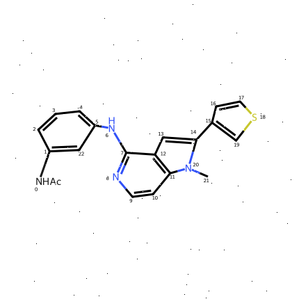 CC(=O)Nc1cccc(Nc2nccc3c2cc(-c2ccsc2)n3C)c1